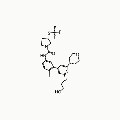 Cc1ccc(NC(=O)N2CC[C@H](SC(F)(F)F)C2)cc1-c1cc(OCCO)nc(N2CCOCC2)c1